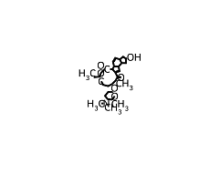 CCC1CCCC(OC2CCC(N(C)C)C(C)O2)C(C)C(=O)C2=CC3C(C=CC4CC(O)CC43)C2CC(=O)O1